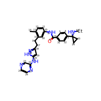 CCNC1(c2ccc(C(=O)Nc3ccc(C)c(CCc4cc(Nc5cnccn5)[nH]n4)c3)cc2)CC1